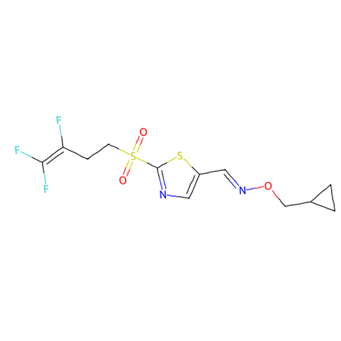 O=S(=O)(CCC(F)=C(F)F)c1ncc(C=NOCC2CC2)s1